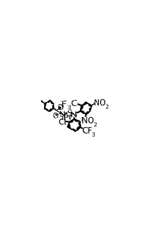 Cc1ccc(S(=O)(=O)N(SN(c2cc(C(F)(F)F)ccc2Cl)c2c([N+](=O)[O-])cc([N+](=O)[O-])cc2C(F)(F)F)C(C)C)cc1